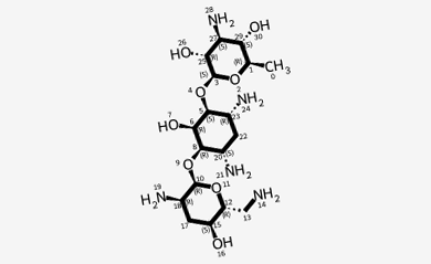 C[C@H]1O[C@@H](O[C@@H]2[C@H](O)[C@H](O[C@H]3O[C@H](CN)[C@@H](O)C[C@H]3N)[C@@H](N)C[C@H]2N)[C@H](O)[C@@H](N)[C@@H]1O